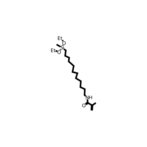 C=C(C)C(=O)NCCCCCCCCCCCC[Si](C)(OCC)OCC